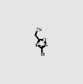 CCc1noc(CC#N)n1